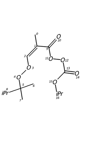 CC(=COOC(C)(C)C(C)C)C(=O)OOC(=O)OC(C)C